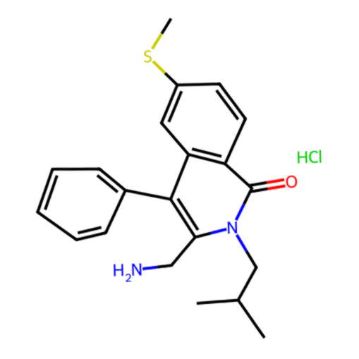 CSc1ccc2c(=O)n(CC(C)C)c(CN)c(-c3ccccc3)c2c1.Cl